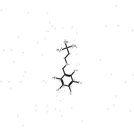 CC(C)(O)CCOCc1c(F)c(F)c(F)c(F)c1F